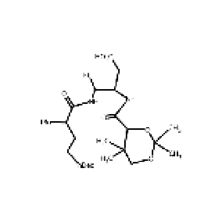 CCCCCCCCCCCCC(C(=O)NC(CC)C(CC(=O)O)NC(=O)C1OC(C)(C)OCC1(C)C)C(C)(C)C